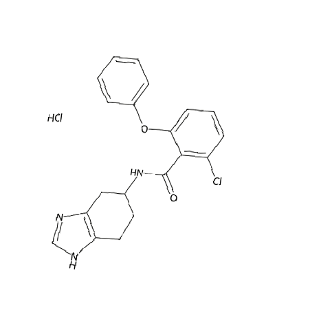 Cl.O=C(NC1CCc2[nH]cnc2C1)c1c(Cl)cccc1Oc1ccccc1